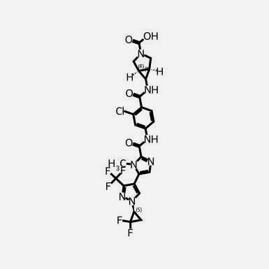 Cn1c(-c2cn([C@H]3CC3(F)F)nc2C(F)(F)F)cnc1C(=O)Nc1ccc(C(=O)NC2[C@H]3CN(C(=O)O)C[C@@H]23)c(Cl)c1